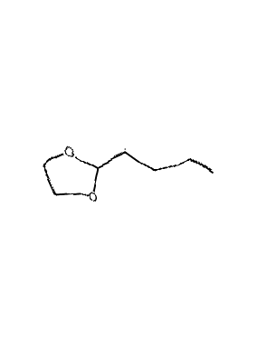 CCC[CH]C1OCCO1